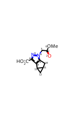 COC(=O)Cn1nc(C(=O)O)c2c1CC1CC21